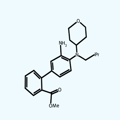 COC(=O)c1ccccc1-c1ccc(N(CC(C)C)C2CCOCC2)c(N)c1